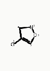 ClC1=CO[N]C1